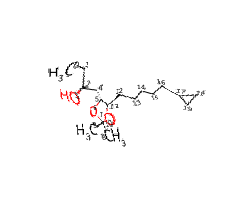 CC[C@H](O)C[C@H]1OC(C)(C)O[C@@H]1CCCCCC1CC1